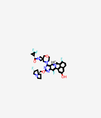 C#Cc1c(F)ccc2cc(O)cc(-c3ncc4c(N5CCOCC6(CN(C(=O)[C@@H]7CC7(F)F)C6)C5)nc(OC[C@@]56CCCN5C[C@H](F)C6)nc4c3F)c12